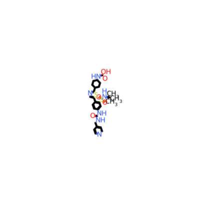 CC(C)(C)NS(=O)(=O)c1cc(NC(=O)NCc2ccncc2)ccc1-c1cnc(C2CCC(NC(=O)O)CC2)s1